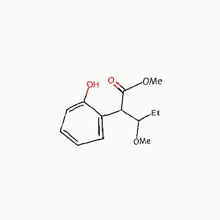 CCC(OC)C(C(=O)OC)c1ccccc1O